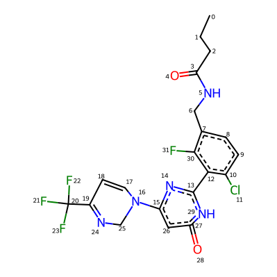 CCCC(=O)NCc1ccc(Cl)c(-c2nc(N3C=CC(C(F)(F)F)=NC3)cc(=O)[nH]2)c1F